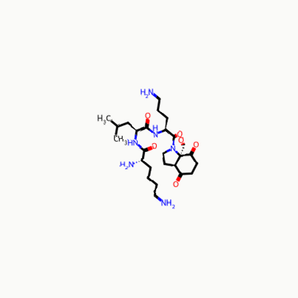 CC(C)C[C@H](NC(=O)[C@@H](N)CCCCN)C(=O)N[C@@H](CCCN)C(=O)N1CCC2C(=O)CCC(=O)[C@@]21C=O